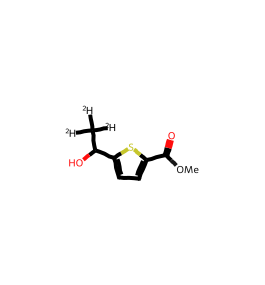 [2H]C([2H])([2H])C(O)c1ccc(C(=O)OC)s1